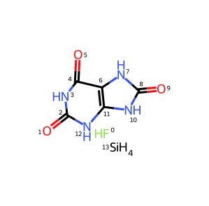 F.O=c1[nH]c(=O)c2[nH]c(=O)[nH]c2[nH]1.[SiH4]